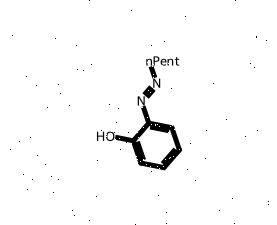 CCCCCN=Nc1ccccc1O